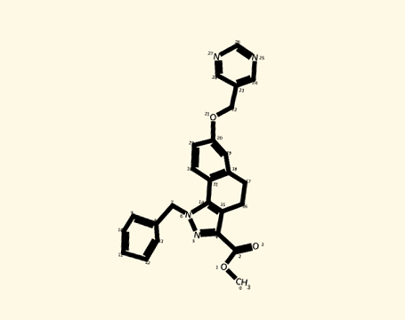 COC(=O)c1nn(Cc2ccccc2)c2c1CCc1cc(OCc3cncnc3)ccc1-2